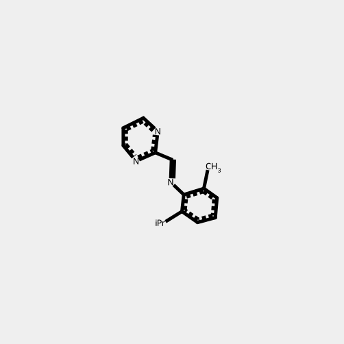 Cc1cccc(C(C)C)c1N=Cc1ncccn1